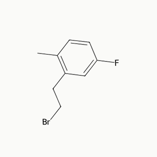 Cc1ccc(F)cc1CCBr